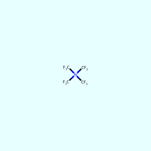 FC(F)(F)[N+](C(F)(F)F)(C(F)(F)F)C(F)(F)F